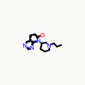 CCCN1CCCC(n2c(=O)ccc3cncnc32)C1